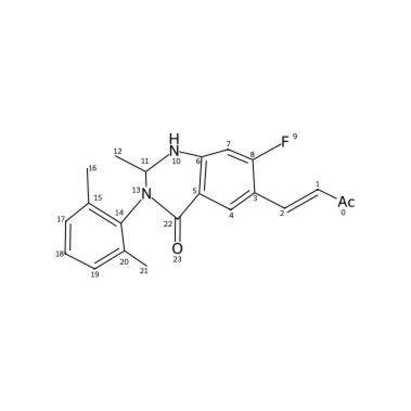 CC(=O)/C=C/c1cc2c(cc1F)NC(C)N(c1c(C)cccc1C)C2=O